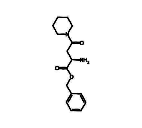 N[C@H](CC(=O)N1CCCCC1)C(=O)OCc1ccccc1